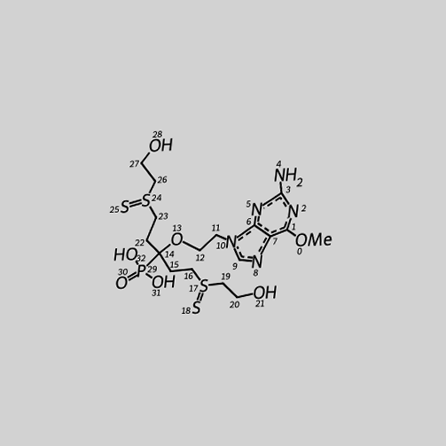 COc1nc(N)nc2c1ncn2CCOC(CCS(=S)CCO)(CCS(=S)CCO)P(=O)(O)O